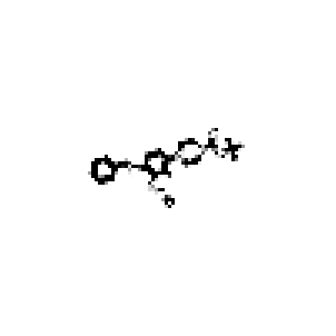 CC(C)(C)OC(=O)N1CCN(c2ccc(OCc3ccccc3)c(N=C=O)c2F)CC1